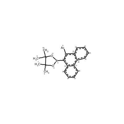 CC(=O)c1c(B2OC(C)(C)C(C)(C)O2)c2ccccc2c2ccccc12